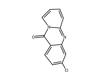 O=c1c2ccc(Cl)cc2nc2ccccn12